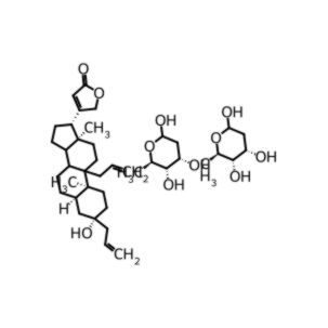 C=CCC12CC[C@@]3(C)C(CC[C@@H]3C3=CC(=O)OC3)C1CC[C@@H]1C[C@](O)(CC=C)CC[C@@]12C.C[C@H]1OC(O)C[C@H](O)[C@@H]1O.C[C@H]1OC(O)C[C@H](O)[C@@H]1O